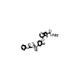 COC(=O)c1cc2nccc(Oc3ccc(NC(=S)NC(=O)Cc4ccccc4)cc3F)c2s1